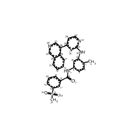 Cc1ccc(NC(=O)c2cccc(S(C)(=O)=O)c2)cc1Nc1nccc(-c2cncc3ccccc23)n1